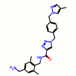 Cc1cnn(Cc2ccc(Cn3cc(C(=O)NCc4c(C)cc(CN)cc4C)nn3)cc2)c1